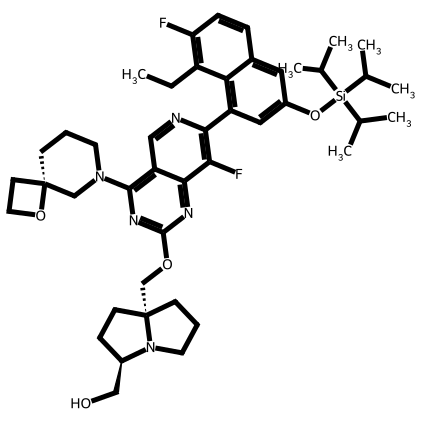 CCc1c(F)ccc2cc(O[Si](C(C)C)(C(C)C)C(C)C)cc(-c3ncc4c(N5CCC[C@]6(CCO6)C5)nc(OC[C@]56CCCN5[C@@H](CO)CC6)nc4c3F)c12